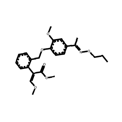 CCCO/N=C(\C)c1ccc(OCc2ccccc2/C(=C/OC)C(=O)OC)c(OC)c1